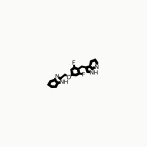 Fc1cc(OCc2nc3ccccc3[nH]2)cc(F)c1Cc1c[nH]c2ncccc12